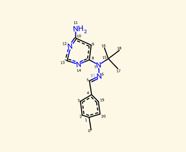 Cc1ccc(/C=N/N(c2cc(N)ncn2)C(C)(C)C)cc1